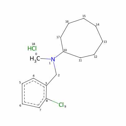 CN(Cc1ccccc1Cl)C1CCCCCCC1.Cl